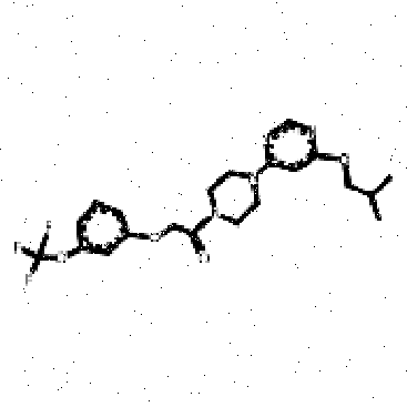 CC(C)COc1cc(N2CCN(C(=O)COc3cccc(OC(F)(F)F)c3)CC2)ncn1